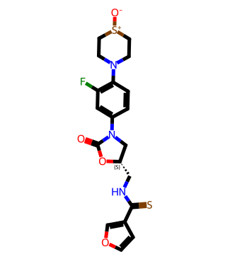 O=C1O[C@@H](CNC(=S)c2ccoc2)CN1c1ccc(N2CC[S+]([O-])CC2)c(F)c1